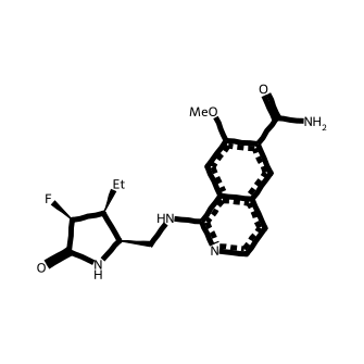 CC[C@@H]1[C@H](F)C(=O)N[C@@H]1CNc1nccc2cc(C(N)=O)c(OC)cc12